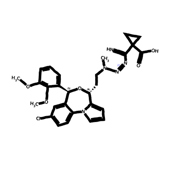 COc1cccc([C@H]2O[C@H](CCN(C)/N=N\C(=N)C3(C(=O)O)CC3)c3cccn3-c3ccc(Cl)cc32)c1OC